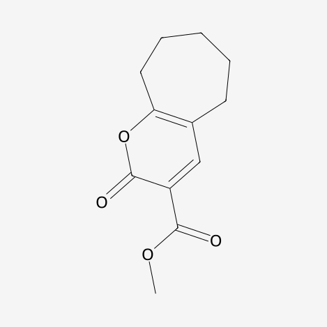 COC(=O)c1cc2c(oc1=O)CCCCC2